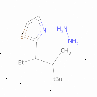 CCC(c1nccs1)C(C)C(C)(C)C.NN